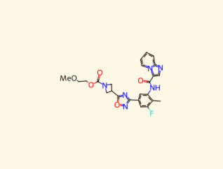 COCCOC(=O)N1CC(c2nc(-c3cc(F)c(C)c(NC(=O)c4cnc5ccccn45)c3)no2)C1